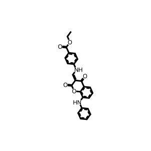 CCOC(=O)c1ccc(NC=C2C(=O)Oc3c(Nc4ccccc4)cccc3C2=O)cc1